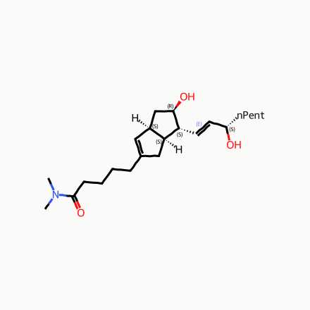 CCCCC[C@H](O)/C=C/[C@@H]1[C@H]2CC(CCCCC(=O)N(C)C)=C[C@H]2C[C@H]1O